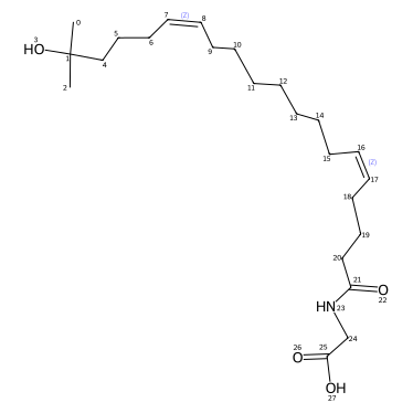 CC(C)(O)CCC/C=C\CCCCCCC/C=C\CCCC(=O)NCC(=O)O